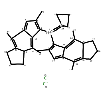 CC1=[C]([Hf+2]([C]2=C(C)C=C3C(C)=C4CCCC4C(C)=C32)=[Si]2CCC2)C2=C(C)C3CCCC3=C(C)C2=C1.[Cl-].[Cl-]